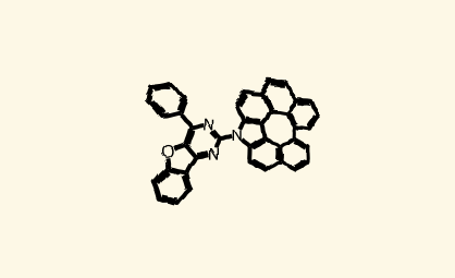 c1ccc(-c2nc(-n3c4ccc5cccc6c5c4c4c5c(ccc7cccc-6c75)ccc43)nc3c2oc2ccccc23)cc1